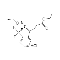 CCON=C=C(CCC(=O)OCC)c1ccccc1C(F)(F)F.Cl